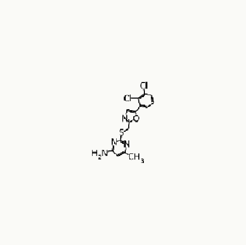 Cc1cc(N)nc(SCc2ncc(-c3cccc(Cl)c3Cl)o2)n1